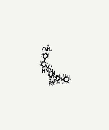 CN(C)C(=O)c1ccc(-c2cccc(C(=O)Nc3ccc(-n4nc(-c5cccnc5)cc4C(F)(F)F)nn3)c2)cc1